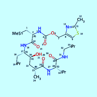 CSC[C@H](NC(=O)OCc1csc(C)n1)C(=O)N[C@@H](CC(C)C)[C@@H](O)C[C@@H](C)C(=O)N[C@H](C(=O)NCC(C)C)C(C)C